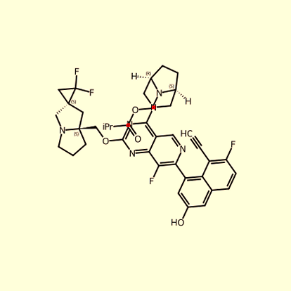 C#Cc1c(F)ccc2cc(O)cc(-c3ncc4c(N5C[C@H]6CC[C@@H](C5)N6COC(=O)C(C)C)nc(OC[C@@]56CCCN5C[C@@]5(CC5(F)F)C6)nc4c3F)c12